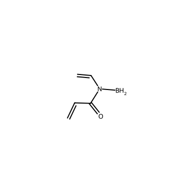 BN(C=C)C(=O)C=C